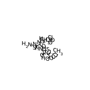 CO/N=C(\C(=O)N[C@@H]1C(=O)N2C(C(=O)O)=C([C@H]3OCC[C@H]3C)CS[C@H]12)c1csc(N)n1.CS(=O)(=O)Cl